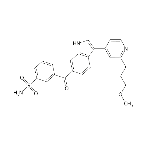 COCCCc1cc(-c2c[nH]c3cc(C(=O)c4cccc(S(N)(=O)=O)c4)ccc23)ccn1